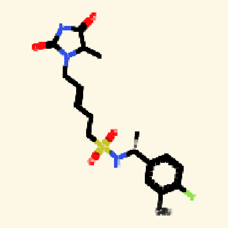 CC(C)COc1cc([C@@H](C)NS(=O)(=O)CC/C=C/CN2C(=O)NC(=O)C2C)ccc1F